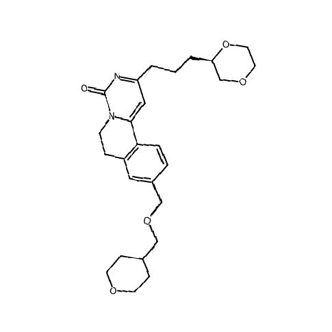 O=c1nc(CCC[C@@H]2COCCO2)cc2n1CCc1cc(COCC3CCOCC3)ccc1-2